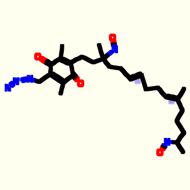 CC1=C(CCC(C)(CC/C=C/CC/C=C(\C)CCCC(C)N=O)N=O)C(=O)C(C)=C(CN=[N+]=[N-])C1=O